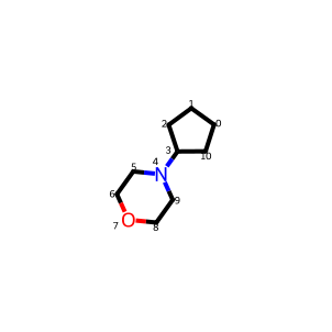 C1CCC(N2CCOCC2)C1